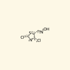 ON=Cc1sc(Cl)nc1Cl